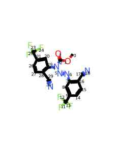 COC(=O)N(/N=N/c1cc(C(F)(F)F)ccc1C#N)c1cc(C(F)(F)F)ccc1C#N